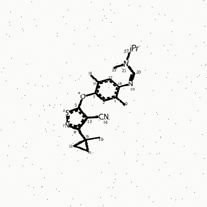 Cc1cc(Oc2snc(C3(C)CC3)c2C#N)c(C)cc1/N=C\N(C)C(C)C